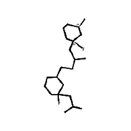 CC(C)CC1(F)CCCC(CCC(C)C[C@]2(F)CCC[C@@H](C)C2)C1